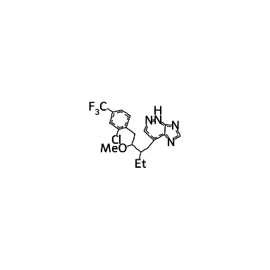 CCC(Cc1cn[nH]c2ncnc1-2)C(Cc1ccc(C(F)(F)F)cc1Cl)OC